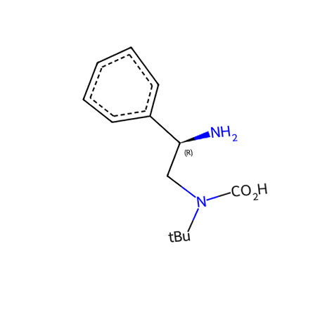 CC(C)(C)N(C[C@H](N)c1ccccc1)C(=O)O